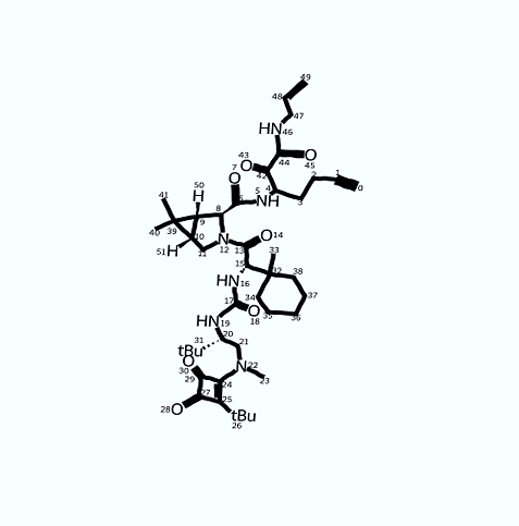 C#CCCC(NC(=O)[C@@H]1[C@@H]2[C@H](CN1C(=O)[C@@H](NC(=O)N[C@H](CN(C)c1c(C(C)(C)C)c(=O)c1=O)C(C)(C)C)C1(C)CCCCC1)C2(C)C)C(=O)C(=O)NCC=C